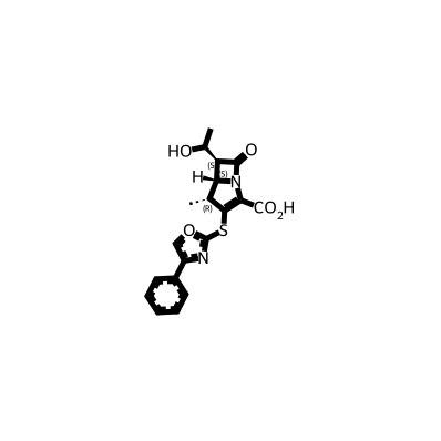 CC(O)[C@H]1C(=O)N2C(C(=O)O)=C(Sc3nc(-c4ccccc4)co3)[C@H](C)[C@H]12